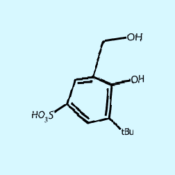 CC(C)(C)c1cc(S(=O)(=O)O)cc(CO)c1O